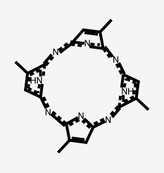 CC1=Cc2nc1nc1cc(C)c(nc3nc(nc4cc(C)c(n2)[nH]4)C(C)=C3)[nH]1